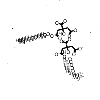 O.O.O.O.O.O.O.O.O.O.O.O.O.O.O=C([O-])CC(O)(CC(=O)[O-])C(=O)[O-].O=C([O-])CC(O)(CC(=O)[O-])C(=O)[O-].[Mg+2].[Mg+2].[Mg+2]